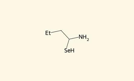 CCCC(N)[SeH]